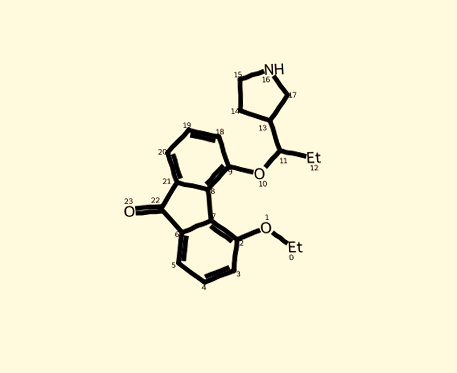 CCOc1cccc2c1-c1c(OC(CC)C3CCNC3)cccc1C2=O